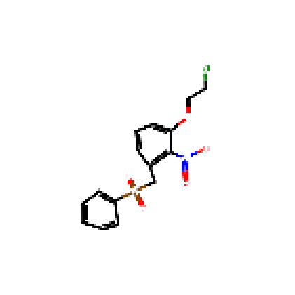 O=[N+]([O-])c1c(CS(=O)(=O)c2ccccc2)cccc1OCCCl